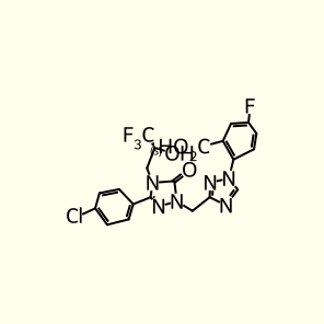 O=C(O)c1cc(F)ccc1-n1cnc(Cn2nc(-c3ccc(Cl)cc3)n(C[C@H](O)C(F)(F)F)c2=O)n1